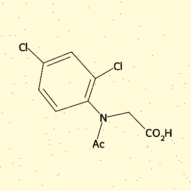 CC(=O)N(CC(=O)O)c1ccc(Cl)cc1Cl